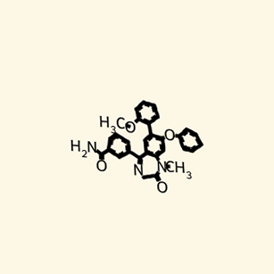 COc1ccccc1-c1cc2c(cc1Oc1ccccc1)N(C)C(=O)CN=C2c1cccc(C(N)=O)c1